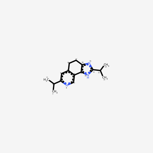 CC(C)c1cc2c(cn1)-c1[nH]c(C(C)C)nc1CC2